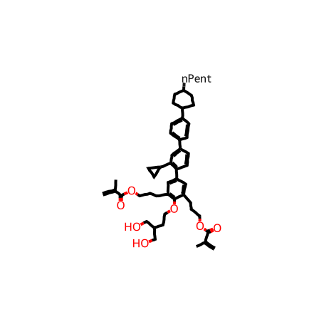 C=C(C)C(=O)OCCCc1cc(-c2ccc(-c3ccc(C4CCC(CCCCC)CC4)cc3)cc2C2CC2)cc(CCCOC(=O)C(=C)C)c1OCCC(CO)CO